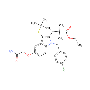 CCOC(=O)C(C)(C)Cc1c(SC(C)(C)C)c2cc(OCC(N)=O)ccc2n1Cc1ccc(Cl)cc1